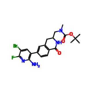 CN(CC1Cc2cc(-c3cc(Br)c(F)nc3N)ccc2C(=O)N1)C(=O)OC(C)(C)C